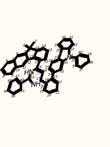 CC1(C)c2cc3ccccc3cc2-c2c(/C(=C/Cc3ccccc3-c3ccc4c5ccccc5n(-c5ccccc5)c4c3)NC(N)c3ccccc3)cccc21